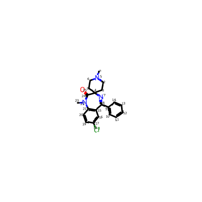 CN1CCC2(CC1)N=C(c1ccccc1)c1cc(Cl)ccc1N(C)C2=O